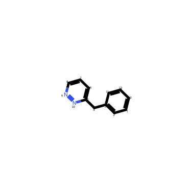 [c]1ccc(Cc2cccnn2)cc1